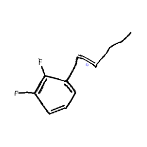 CCC/C=C/c1cccc(F)c1F